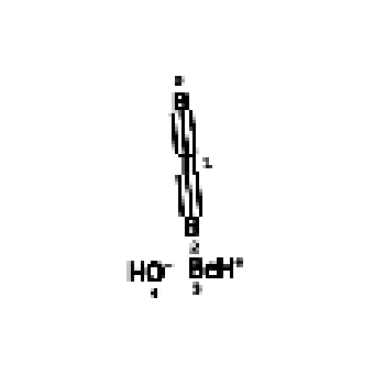 [B]#[Ti]#[B].[BeH+].[OH-]